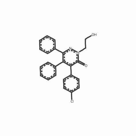 O=c1c(-c2ccc(Cl)cc2)c(-c2ccccc2)c(-c2ccccc2)nn1CCO